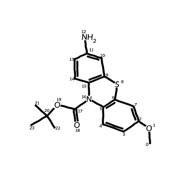 COc1ccc2c(c1)Sc1cc(N)ccc1N2C(=O)OC(C)(C)C